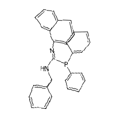 c1ccc(CN/C(=N/c2cccc3ccccc23)P(c2ccccc2)c2ccccc2)cc1